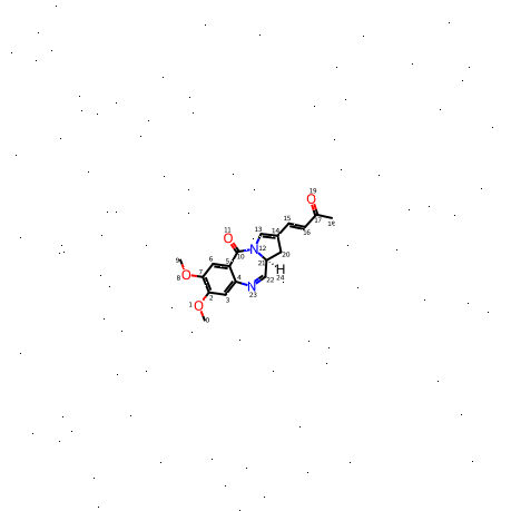 COc1cc2c(cc1OC)C(=O)N1C=C(/C=C/C(C)=O)C[C@H]1C=N2